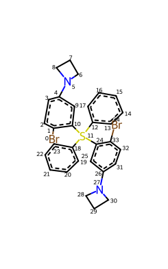 Brc1ccc(N2CCC2)cc1S(c1ccccc1)(c1ccccc1)c1cc(N2CCC2)ccc1Br